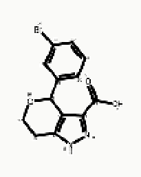 O=C(O)c1n[nH]c2c1C(c1cccc(Br)c1)OCC2